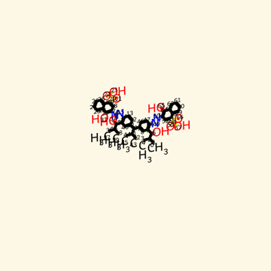 CCC(CC)C(O)c1cc(C(c2ccc(/N=N/c3cc(S(=O)(=O)O)c4ccccc4c3O)c(C(O)C(CC)CC)c2)C(CC)CC)ccc1/N=N/c1cc(S(=O)(=O)O)c2ccccc2c1O